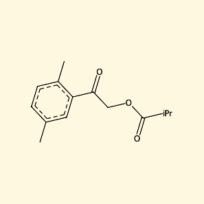 Cc1ccc(C)c(C(=O)COC(=O)C(C)C)c1